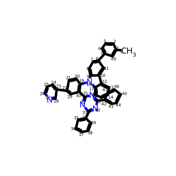 Cc1cccc(-c2ccc3c(c2)c2ccccc2n3-c2ccc(-c3cccnc3)cc2-c2nc(-c3ccccc3)nc(-c3ccccc3)n2)c1